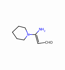 NC(=CC=O)N1CCCCC1